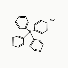 [Na+].c1ccc([B-](c2ccccc2)(c2ccccc2)c2ccccc2)cc1